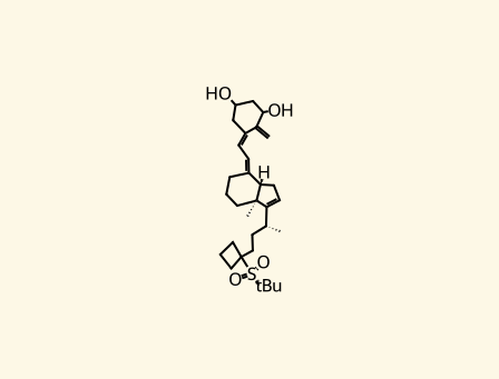 C=C1/C(=C\C=C2/CCC[C@]3(C)C([C@H](C)CCC4(S(=O)(=O)C(C)(C)C)CCC4)=CC[C@@H]23)CC(O)CC1O